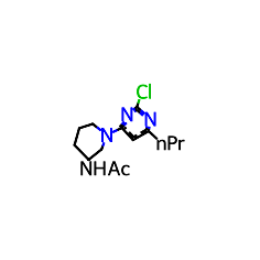 CCCc1cc(N2CCC[C@@H](NC(C)=O)C2)nc(Cl)n1